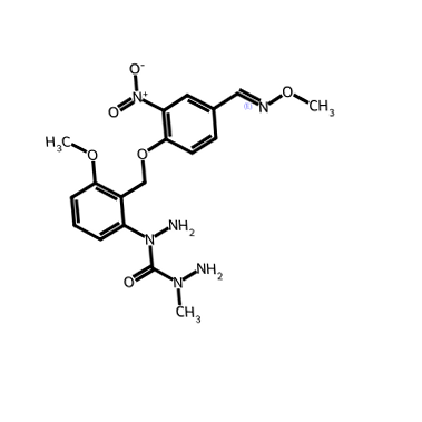 CO/N=C/c1ccc(OCc2c(OC)cccc2N(N)C(=O)N(C)N)c([N+](=O)[O-])c1